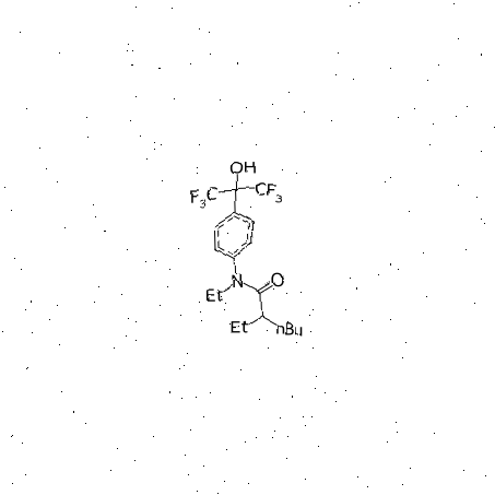 CCCCC(CC)C(=O)N(CC)c1ccc(C(O)(C(F)(F)F)C(F)(F)F)cc1